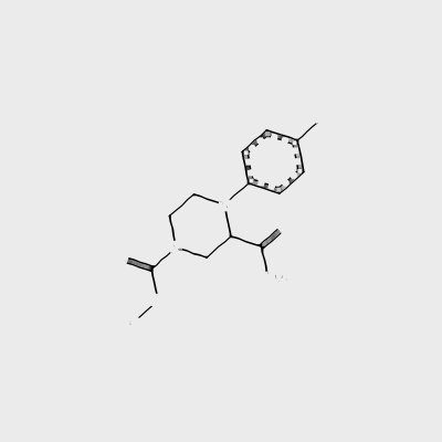 COC(=O)C1CN(C(=O)OC(C)(C)C)CCN1c1ccc(F)cc1